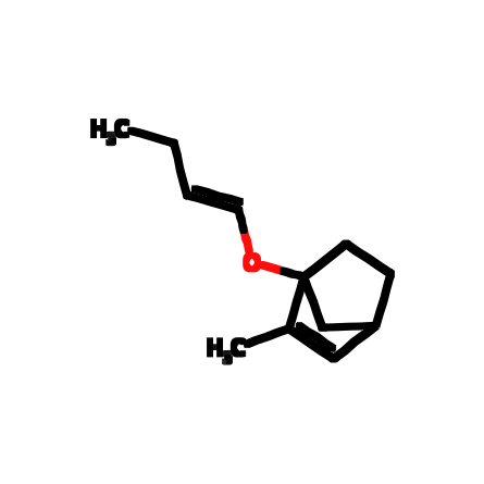 CCC=COC12CCC(C=C1C)C2